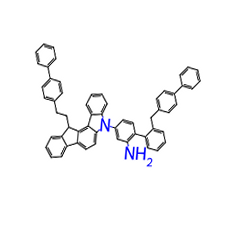 Nc1cc(-n2c3ccccc3c3c4c(ccc32)-c2ccccc2C4CCc2ccc(-c3ccccc3)cc2)ccc1-c1ccccc1Cc1ccc(-c2ccccc2)cc1